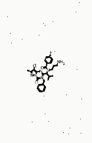 Cc1nn2c(=O)n(Cc3ccccc3)c(C(C(C)C)N(CCCN)C(=O)c3ccc(F)cc3)nc2c1Cl